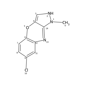 CN1NC=C2Oc3ccc(Cl)cc3N=C21